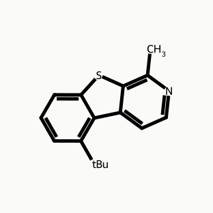 Cc1nccc2c1sc1cccc(C(C)(C)C)c12